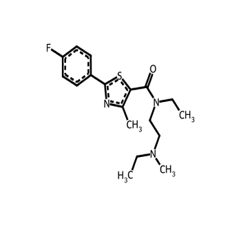 CCN(C)CCN(CC)C(=O)c1sc(-c2ccc(F)cc2)nc1C